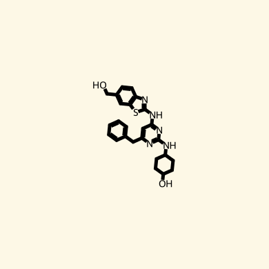 OCc1ccc2nc(Nc3cc(Cc4ccccc4)nc(NC4CCC(O)CC4)n3)sc2c1